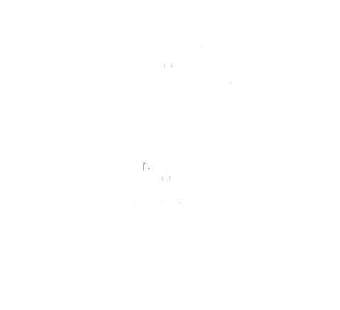 O=C(CCC/C(=N\OS(=O)(=O)c1ccccc1)c1ccccc1)c1ccccc1